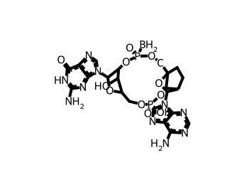 BP1(=O)OCC23CCC(C(n4cnc5c(N)ncnc54)O2)C3OP(=O)(O)OCC2OC(n3cnc4c(=O)[nH]c(N)nc43)C(O1)C2O